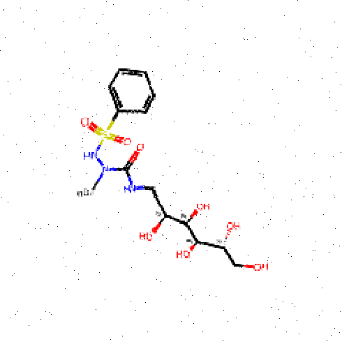 CCCCN(NS(=O)(=O)c1ccccc1)C(=O)NC[C@H](O)[C@@H](O)[C@H](O)[C@H](O)CO